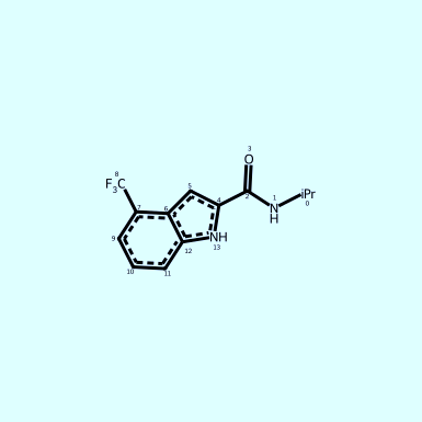 CC(C)NC(=O)c1cc2c(C(F)(F)F)cccc2[nH]1